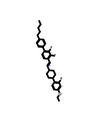 CCCCCc1ccc(-c2ccc(/C=C/C3CCC(c4ccc(OCC)cc4F)CC3)c(F)c2F)cc1